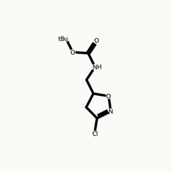 CC(C)(C)OC(=O)NCC1CC(Cl)=NO1